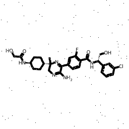 CC1([C@H]2CC[C@H](NC(=O)CO)CC2)CN=C(N)C(c2ccc(C(=O)N[C@H](CO)c3cccc(Cl)c3)c(F)c2)=N1